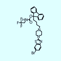 O=C(NCC(F)(F)F)OC1(CCCCN2CCN(c3nc4ccc(Br)cc4s3)CC2)c2ccccc2-c2ccccc21